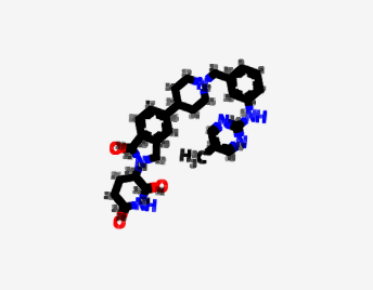 Cc1cnc(Nc2cccc(CN3CCC(c4ccc5c(c4)CN(C4CCC(=O)NC4=O)C5=O)CC3)c2)nc1